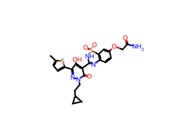 Cc1ccc(-c2nn(CCC3CC3)c(=O)c(C3=Nc4ccc(OCC(N)=O)cc4S(=O)(=O)N3)c2O)s1